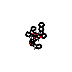 CC1C/C=C(c2c(-n3c4ccccc4c4cc5ccccc5cc43)ccc3oc4ccccc4c23)/N=C(c2cccc3sc4ccccc4c23)\N=C/1n1c2ccccc2c2ccccc21